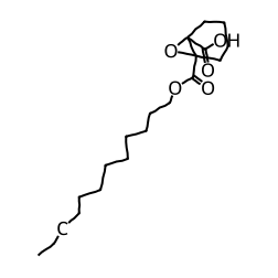 CCCCCCCCCCCCOC(=O)C12CCCCC1(C(=O)O)O2